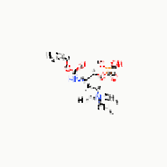 C=COC(=O)NC(CC[N+](C)(C)C)COP(=O)([O-])O